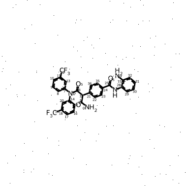 NC(=O)C(C(=O)N(c1cccc(C(F)(F)F)c1)c1cccc(C(F)(F)F)c1)c1ccc(C(=O)Nc2ccccc2N)cc1